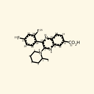 CC1CCCCN1c1nc2cc(C(=O)O)ccc2nc1-c1ccc(F)cc1F